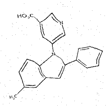 Cc1ccc2c(c1)cc(-c1ccccc1)n2-c1cncc(C(=O)O)c1